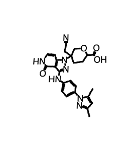 Cc1cc(C)n(-c2ccc(Nc3nn(C4(CC#N)CCC(C(=O)O)OC4)c4cc[nH]c(=O)c34)cc2)n1